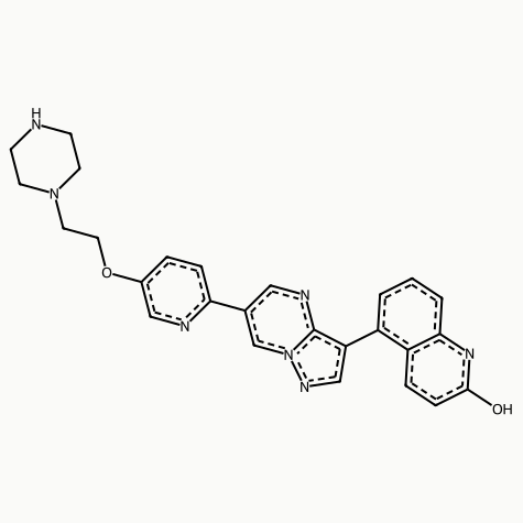 Oc1ccc2c(-c3cnn4cc(-c5ccc(OCCN6CCNCC6)cn5)cnc34)cccc2n1